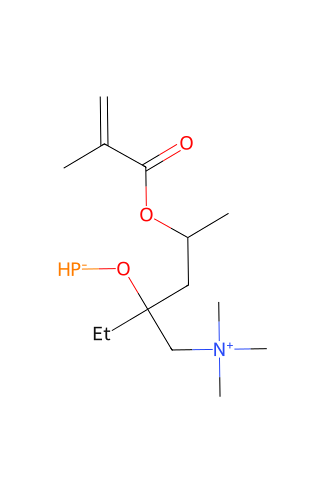 C=C(C)C(=O)OC(C)CC(CC)(C[N+](C)(C)C)O[PH-]